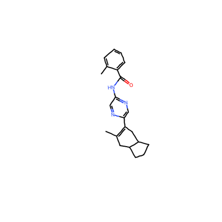 CC1=C(c2cnc(NC(=O)c3ccccc3C)cn2)CC2CCCC2C1